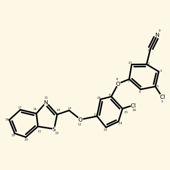 N#Cc1cc(Cl)cc(Oc2cc(OCc3nc4ccccc4s3)ccc2Cl)c1